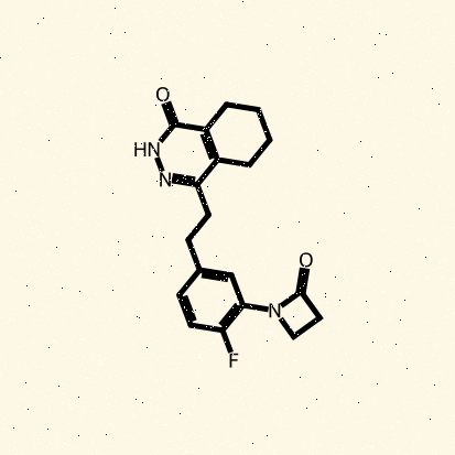 O=C1CCN1c1cc(CCc2n[nH]c(=O)c3c2CCCC3)ccc1F